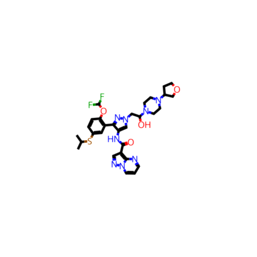 CC(C)Sc1ccc(OC(F)F)c(-c2nn(CC(O)N3CCN(C4CCOC4)CC3)cc2NC(=O)c2cnn3cccnc23)c1